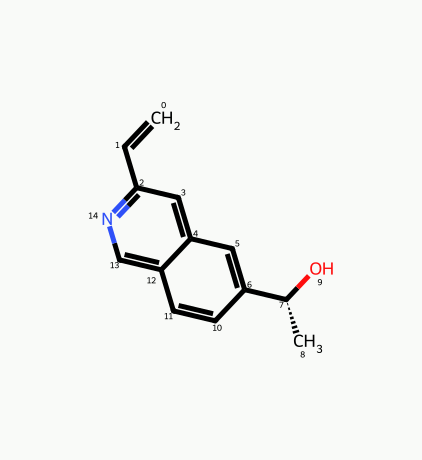 C=Cc1cc2cc([C@@H](C)O)ccc2cn1